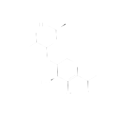 CC(C)C1=C(O)[C@@H](O)C(OC(O[C@H](C)O)C(O)O)CO1